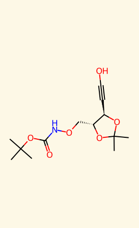 CC(C)(C)OC(=O)NOC[C@H]1OC(C)(C)O[C@@H]1C#CO